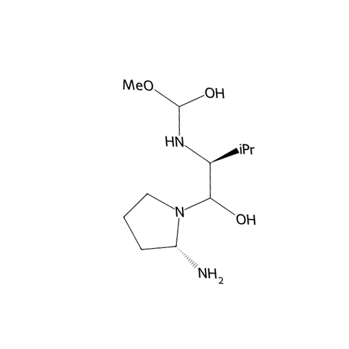 COC(O)N[C@@H](C(C)C)C(O)N1CCC[C@H]1N